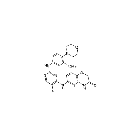 COc1cc(Nc2ncc(F)c(Nc3ccc4c(n3)NC(=O)CO4)n2)ccc1N1CCOCC1